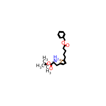 CC(C)(C)OC(=O)[C@@H](N)Cc1ccc(CCCCC(=O)OCc2ccccc2)s1